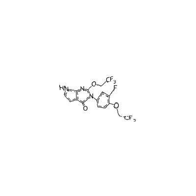 O=c1c2cc[nH]c2nc(OCC(F)(F)F)n1-c1ccc(OCC(F)(F)F)c(F)c1